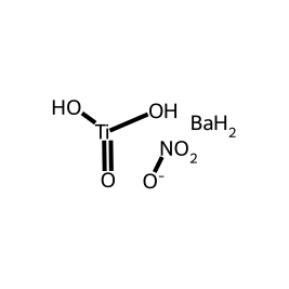 O=[N+]([O-])[O-].[BaH2].[O]=[Ti]([OH])[OH]